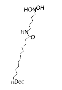 CCCCCCCCCCCCCCCCCCCCCC(=O)NCCCCCN(O)O